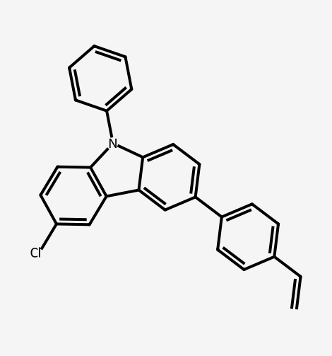 C=Cc1ccc(-c2ccc3c(c2)c2cc(Cl)ccc2n3-c2ccccc2)cc1